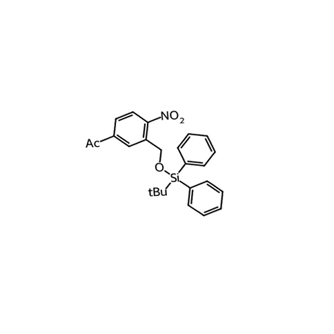 CC(=O)c1ccc([N+](=O)[O-])c(CO[Si](c2ccccc2)(c2ccccc2)C(C)(C)C)c1